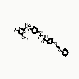 Cc1cc(C)nc(NS(=O)(=O)c2ccc(NC(=S)NC(=O)c3ccc(OCCOc4ccccc4)cc3)cc2)n1